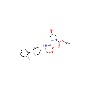 CC(C)(C)OC(=O)N1C[C@H](O)C[C@H]1C(=O)N[C@@H](CO)c1ccc(-c2ccccc2F)cc1